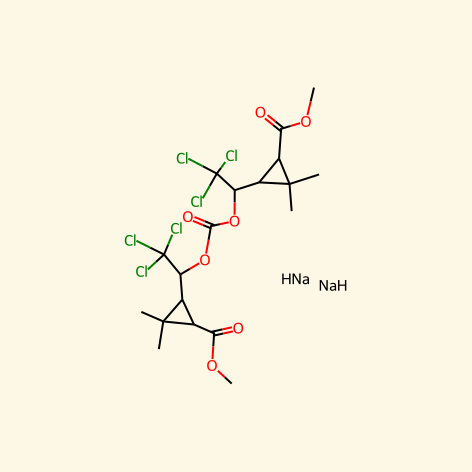 COC(=O)C1C(C(OC(=O)OC(C2C(C(=O)OC)C2(C)C)C(Cl)(Cl)Cl)C(Cl)(Cl)Cl)C1(C)C.[NaH].[NaH]